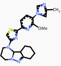 COc1nc(-c2nc(N3CCCN4N=C5CCCCC5C43)cs2)ccc1-n1cnc(C)c1